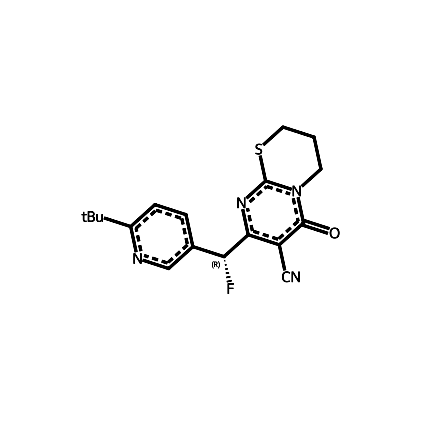 CC(C)(C)c1ccc([C@@H](F)c2nc3n(c(=O)c2C#N)CCCS3)cn1